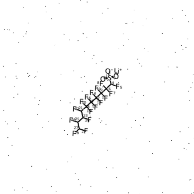 O=S(=O)([O-])C(F)C(F)(F)C(F)(F)C(F)(F)C(F)(F)C(F)(F)C(F)C(F)C(F)C(F)F.[Li+]